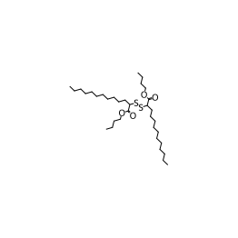 CCCCCCCCCCCC(SSC(CCCCCCCCCCC)C(=O)OCCCC)C(=O)OCCCC